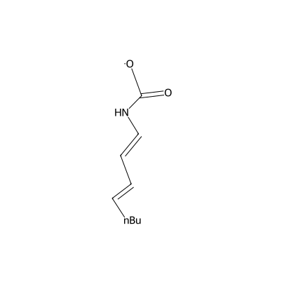 CCCCC=CC=CNC([O])=O